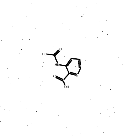 O=C(O)Nc1cccnc1C(=O)O